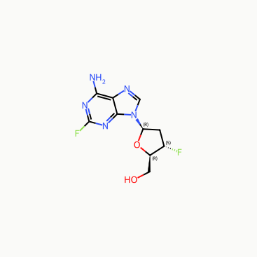 Nc1nc(F)nc2c1ncn2[C@H]1C[C@H](F)[C@@H](CO)O1